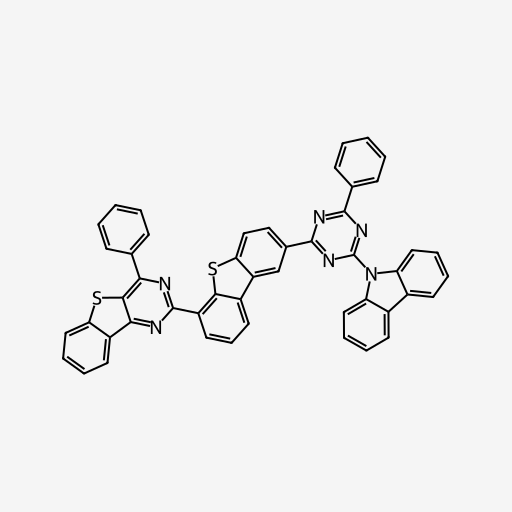 c1ccc(-c2nc(-c3ccc4sc5c(-c6nc(-c7ccccc7)c7sc8ccccc8c7n6)cccc5c4c3)nc(-n3c4ccccc4c4ccccc43)n2)cc1